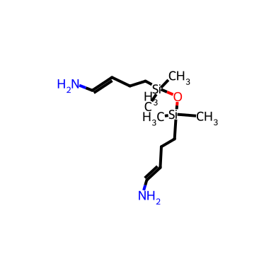 C[Si](C)(CCC=CN)O[Si](C)(C)CCC=CN